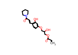 C=CC(=O)OCC(O)COc1ccc(C=CC(=O)N2CCCCC2)c(O)c1